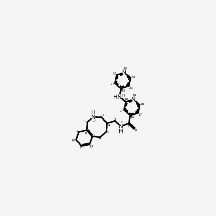 C=C(NCC1CCC2=C(CCC=C2)CNC1)c1ccnc(Nc2ccncc2)c1